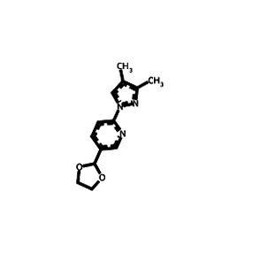 Cc1cn(-c2ccc(C3OCCO3)cn2)nc1C